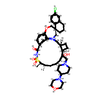 C[C@@H]1[C@@H](C)CCC[C@@](O)(CN2CCC(N3CCOCC3)CC2)[C@@H]2CC[C@H]2CN2C[C@@]3(CCCc4cc(Cl)ccc43)COc3ccc(cc32)C(=O)NS1(=O)=O